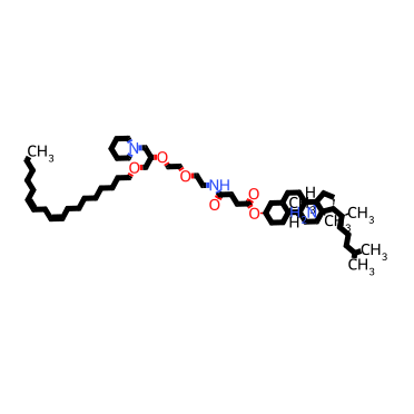 CCCCC/C=C\C/C=C\CCCCCCCCOCC(CN1CCCCC1)OCCOCCNC(=O)CCC(=O)O[C@H]1CC[C@@]2(C)C(CC[C@@H]3[C@@H]2CC[C@]2(C)[C@@H]([C@H](C)CCCC(C)C)CC[C@@]32N)C1